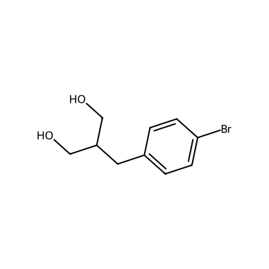 OCC(CO)Cc1ccc(Br)cc1